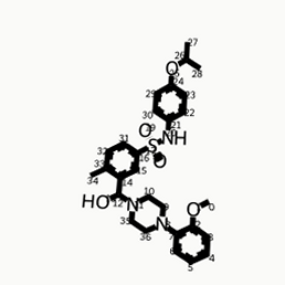 COc1ccccc1N1CCN(C(O)c2cc(S(=O)(=O)Nc3ccc(OC(C)C)cc3)ccc2C)CC1